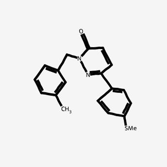 CSc1ccc(-c2ccc(=O)n(Cc3cccc(C)c3)n2)cc1